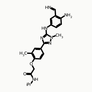 Cc1cc(-c2nc(Nc3ccc(N)c(C=N)c3)n(C)n2)ccc1OCC(=O)NC(C)C